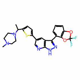 CC(c1ccc(-c2cnc3[nH]nc(-c4cccc5c4OC(F)(F)O5)c3c2)s1)N1CCN(C)CC1